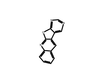 c1ccc2nc3oc4ncncc4c3cc2c1